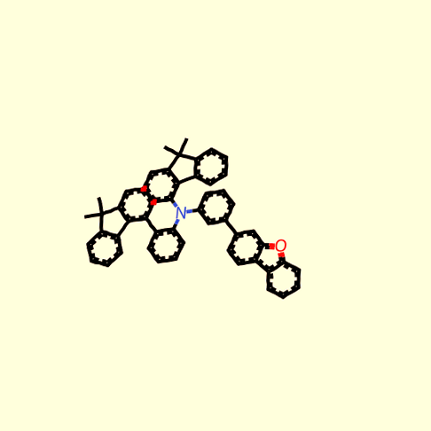 CC1(C)c2ccccc2-c2c(-c3ccccc3N(c3cccc(-c4ccc5c(c4)oc4ccccc45)c3)c3cccc4c3-c3ccccc3C4(C)C)cccc21